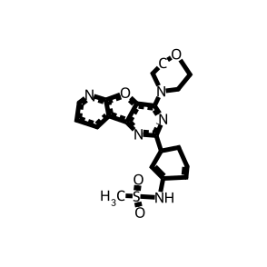 CS(=O)(=O)NC1=CC(c2nc(N3CCOCC3)c3oc4ncccc4c3n2)CC=C1